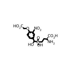 N[C@@H](CCP(=O)(O)C(O)c1ccc(OCC(=O)O)c([N+](=O)[O-])c1)C(=O)O